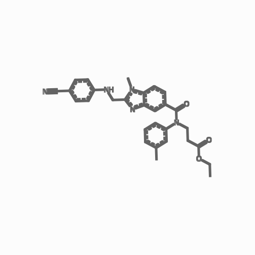 CCOC(=O)CCN(C(=O)c1ccc2c(c1)nc(CNc1ccc(C#N)cc1)n2C)c1cccc(C)c1